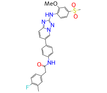 COc1cc(S(C)(=O)=O)ccc1Nc1nc2ccc(-c3ccc(NC(=O)Cc4ccc(F)c(C)c4)cc3)cn2n1